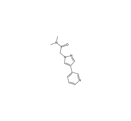 CN(C)C(=O)Cn1cc(-c2cccnc2)cn1